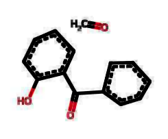 C=O.O=C(c1ccccc1)c1ccccc1O